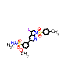 CNS(=O)(=O)c1cc(-c2cnc3c(c2)c(I)cn3S(=O)(=O)c2ccc(C)cc2)ccc1OC